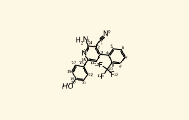 N#Cc1c(-c2ccccc2C(F)(F)F)cc(-c2ccc(O)cc2)nc1N